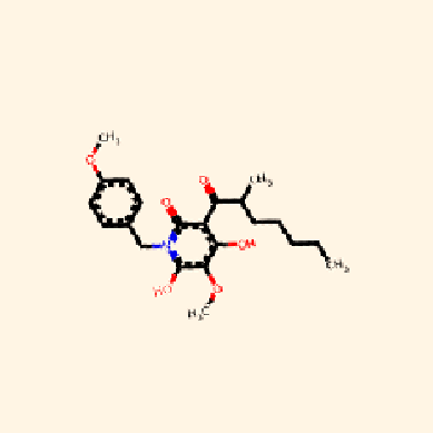 CCCCCC(C)C(=O)c1c(O)c(OC)c(O)n(Cc2ccc(OC)cc2)c1=O